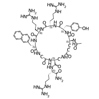 CC(=O)N[C@H]1CCC(=O)NC[C@@H](C(=O)N[C@@H](CCCNC(=N)N)C(N)=O)NC(=O)CNC(=O)[C@H](Cc2ccc3ccccc3c2)NC(=O)[C@@H](CCCNC(=N)N)NC(=O)[C@H](CCCNC(=N)N)NC(=O)[C@H](Cc2ccc(O)cc2)NC1=O